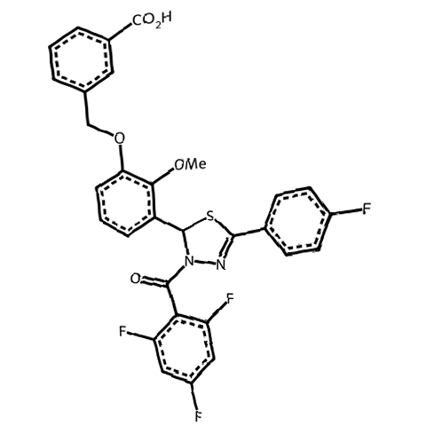 COc1c(OCc2cccc(C(=O)O)c2)cccc1C1SC(c2ccc(F)cc2)=NN1C(=O)c1c(F)cc(F)cc1F